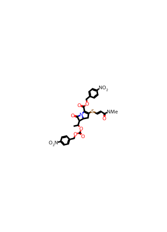 CNC(=O)C=CSC1=C(C(=O)OCc2ccc([N+](=O)[O-])cc2)N2C(=O)C(C(C)OC(=O)OCc3ccc([N+](=O)[O-])cc3)C2C1